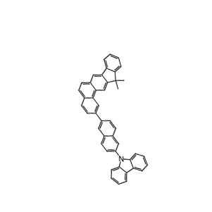 CC1(C)c2ccccc2-c2cc3ccc4ccc(-c5ccc6cc(-n7c8ccccc8c8ccccc87)ccc6c5)cc4c3cc21